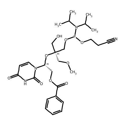 COC[C@](CO)(COP(OCCC#N)N(C(C)C)C(C)C)O[C@H](COC(=O)c1ccccc1)n1ccc(=O)[nH]c1=O